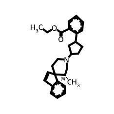 CCOC(=O)c1ccccc1C1CCC(N2CCC3(C=Cc4ccccc43)[C@@H](C)C2)C1